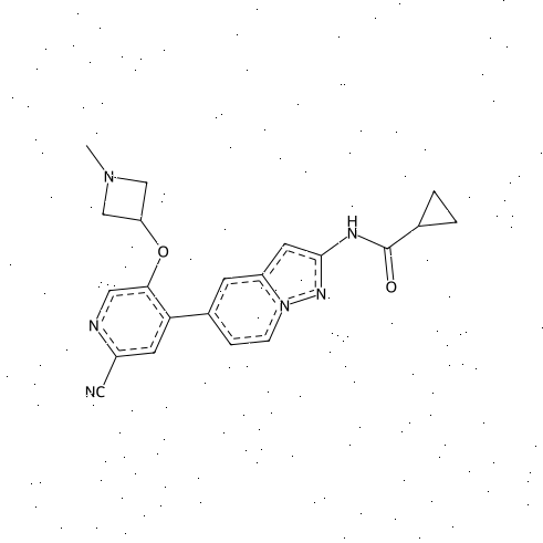 CN1CC(Oc2cnc(C#N)cc2-c2ccn3nc(NC(=O)C4CC4)cc3c2)C1